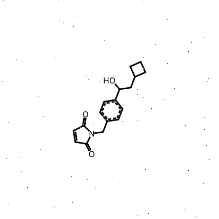 O=C1C=CC(=O)N1Cc1ccc(C(O)CC2CCC2)cc1